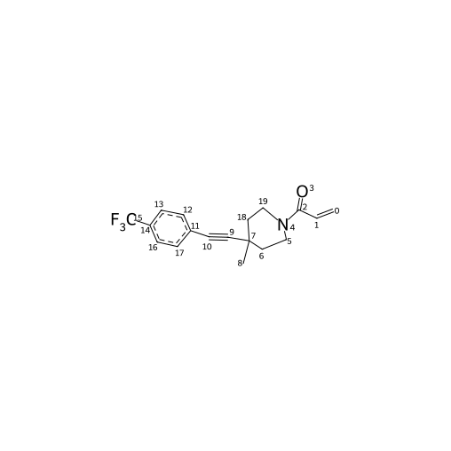 C=CC(=O)N1CCC(C)(C#Cc2ccc(C(F)(F)F)cc2)CC1